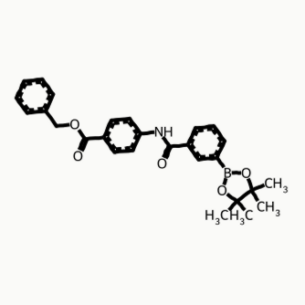 CC1(C)OB(c2cccc(C(=O)Nc3ccc(C(=O)OCc4ccccc4)cc3)c2)OC1(C)C